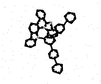 c1ccc(-c2ccc(-c3cc(-c4ccc(-c5ccccc5)cc4)nc(-n4c5ccccc5c5ccc6c7ccccc7c7nc8ccccc8n7c6c54)c3)cc2)cc1